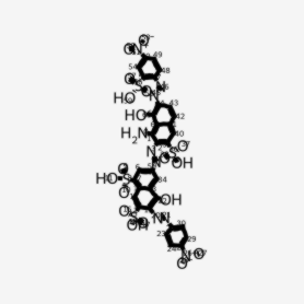 Nc1c(N=Nc2cc(S(=O)(=O)O)c3cc(S(=O)(=O)O)c(N=Nc4ccc([N+](=O)[O-])cc4)c(O)c3c2)c(S(=O)(=O)O)cc2ccc(N=Nc3ccc([N+](=O)[O-])cc3S(=O)(=O)O)c(O)c12